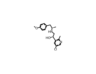 COc1ccc(C[C@@H](C)NC[C@H](O)c2cc(Cl)cnc2C)cc1